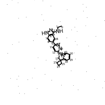 CCNc1n[nH]c2ccc(-c3ccc(NCC4(c5ccccn5)CCC4)nn3)cc12